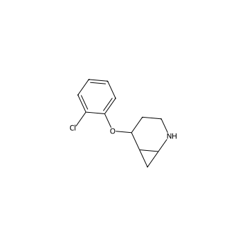 Clc1ccccc1OC1CCNC2CC21